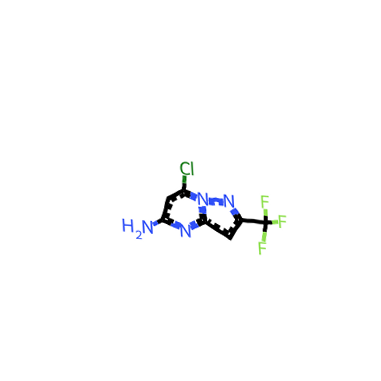 Nc1cc(Cl)n2nc(C(F)(F)F)cc2n1